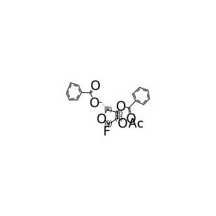 CC(=O)O[C@@H]1[C@H](OC(=O)c2ccccc2)[C@@H](COC(=O)c2ccccc2)O[C@@H]1F